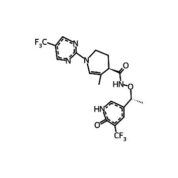 CC1=CN(c2ncc(C(F)(F)F)cn2)CC[C@H]1C(=O)NO[C@H](C)c1c[nH]c(=O)c(C(F)(F)F)c1